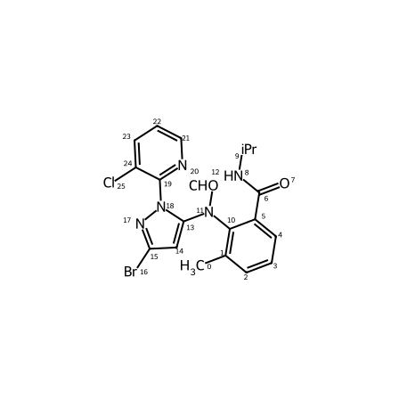 Cc1cccc(C(=O)NC(C)C)c1N(C=O)c1cc(Br)nn1-c1ncccc1Cl